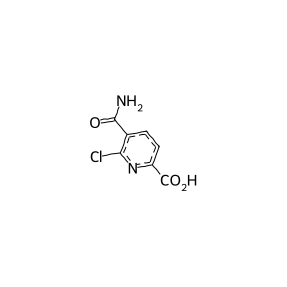 NC(=O)c1ccc(C(=O)O)nc1Cl